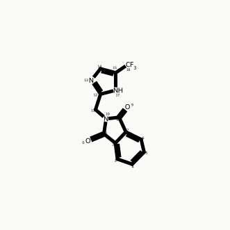 O=C1c2ccccc2C(=O)N1Cc1ncc(C(F)(F)F)[nH]1